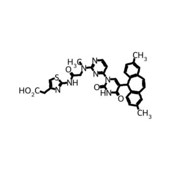 Cc1ccc2c(c1)C=Cc1cc(C)ccc1C2c1cn(-c2ccnc(N(C)CC(=O)Nc3nc(CC(=O)O)cs3)n2)c(=O)[nH]c1=O